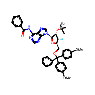 COc1ccc(C(OC[C@H]2O[C@@H](n3cnc4c(NC(=O)c5ccccc5)ncnc43)[C@H](O[Si](C)(C)C(C)(C)C)[C@H]2F)(c2ccccc2)c2ccc(OC)cc2)cc1